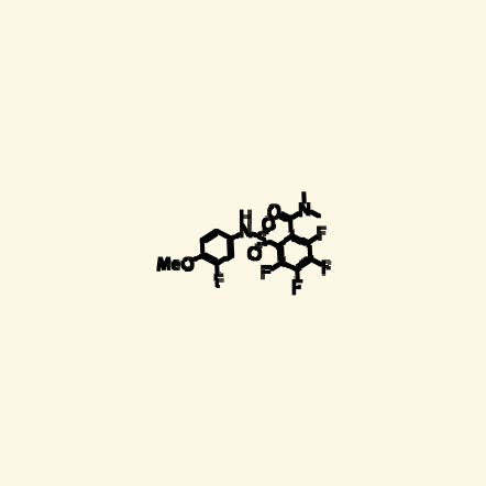 COc1ccc(NS(=O)(=O)c2c(F)c(F)c(F)c(F)c2C(=O)N(C)C)cc1F